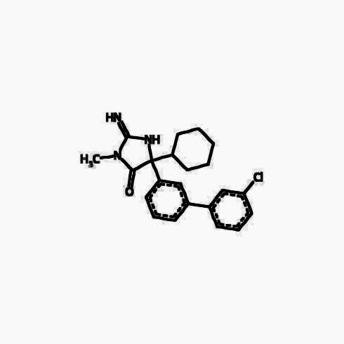 CN1C(=N)NC(c2cccc(-c3cccc(Cl)c3)c2)(C2CCCCC2)C1=O